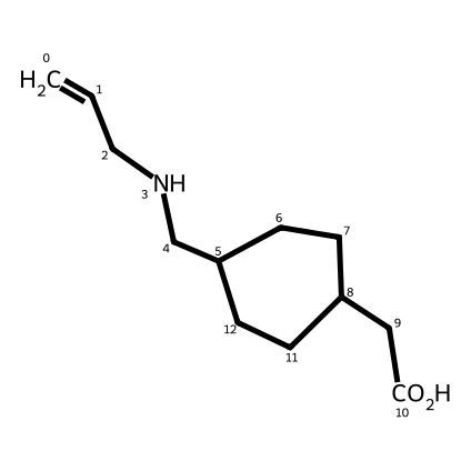 C=CCNCC1CCC(CC(=O)O)CC1